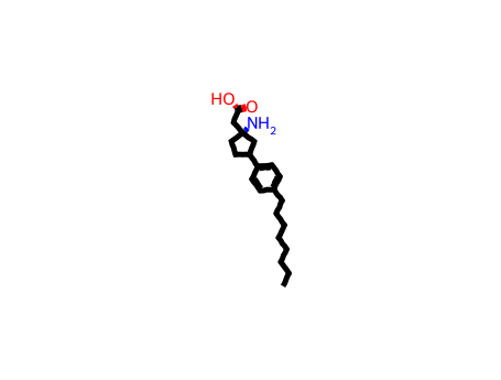 CCCCCCCCc1ccc(C2CCC(N)(CC(=O)O)C2)cc1